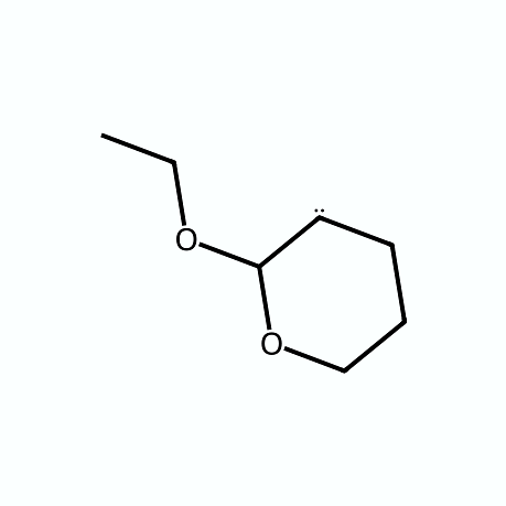 CCOC1[C]CCCO1